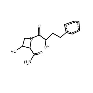 NC(=O)C1C(O)CN1C(=O)C(O)[CH]Cc1ccccc1